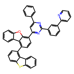 c1ccc(-c2cc(-c3ccc(-c4cccc5sc6ccccc6c45)c4c3oc3ccccc34)nc(-c3cccc(-c4ccccn4)c3)n2)cc1